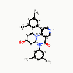 Cc1cc(C)cc(NC(=O)c2cncc(-c3cc(C)cc(C)c3)c2N2CCC(O)CC2)c1